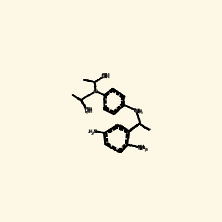 CC(Nc1ccc(N(C(C)O)C(C)O)cc1)c1cc(N)ccc1N